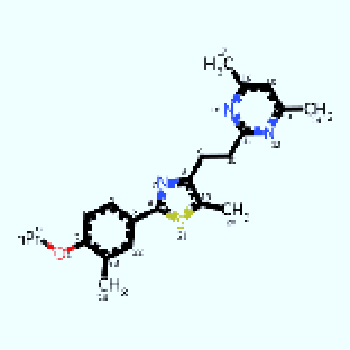 CCCOc1ccc(-c2nc(CCc3nc(C)cc(C)n3)c(C)s2)cc1C